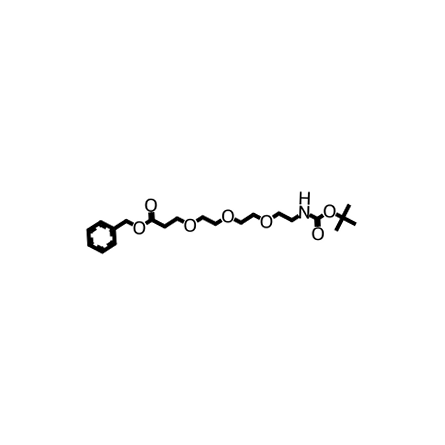 CC(C)(C)OC(=O)NCCOCCOCCOCCC(=O)OCc1ccccc1